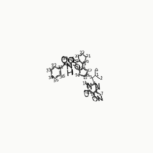 CC(C)Cc1nc2cnoc2c(=O)n1Cc1ccc(-c2ccccc2S(=O)(=O)NC(=O)c2ccccc2)cc1